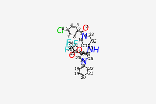 O=C(c1ccc(Cl)cc1)N1CCC(N[C@H]2CN(c3ccccc3)C[C@@H]2OC(=O)C(F)(F)F)CC1